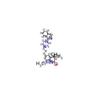 CCc1cc(CCCN2CCN(c3nsc4ccccc34)CC2)cc2c1NC(=O)CC2(C)C